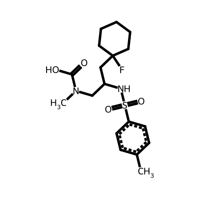 Cc1ccc(S(=O)(=O)NC(CN(C)C(=O)O)CC2(F)CCCCC2)cc1